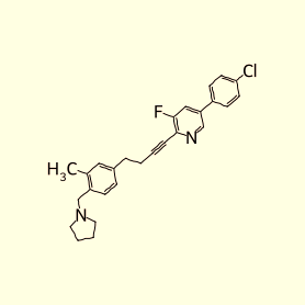 Cc1cc(CCC#Cc2ncc(-c3ccc(Cl)cc3)cc2F)ccc1CN1CCCC1